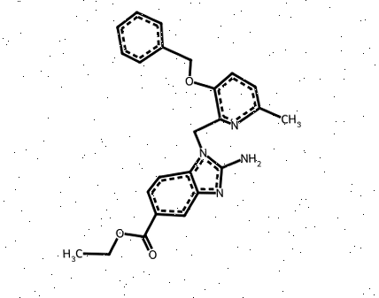 CCOC(=O)c1ccc2c(c1)nc(N)n2Cc1nc(C)ccc1OCc1ccccc1